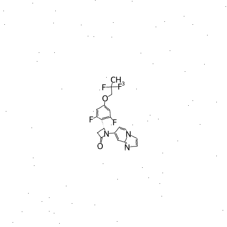 CC(F)(F)COc1cc(F)c([C@H]2CC(=O)N2c2ccn3ccnc3c2)c(F)c1